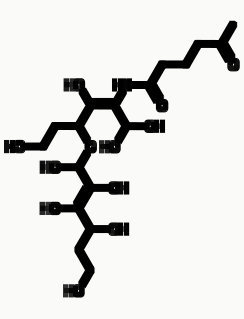 CC(=O)CCCC(=O)N/C(=C(\O)C(CCO)OC(O)/C(O)=C(\O)C(O)CCO)C(O)O